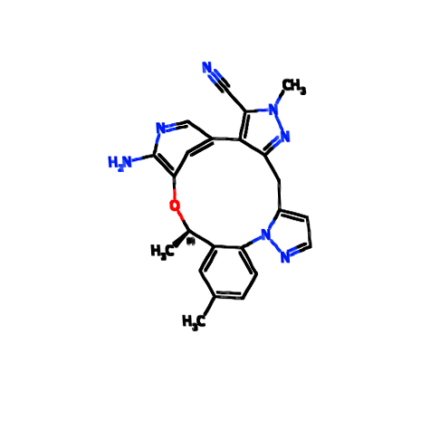 Cc1ccc2c(c1)[C@@H](C)Oc1cc(cnc1N)-c1c(nn(C)c1C#N)Cc1ccnn1-2